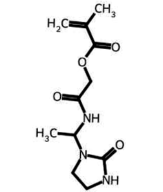 C=C(C)C(=O)OCC(=O)NC(C)N1CCNC1=O